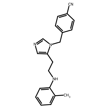 Cc1ccccc1NCCc1cncn1Cc1ccc(C#N)cc1